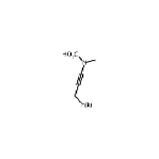 CCCCCC#CN(I)C(=O)O